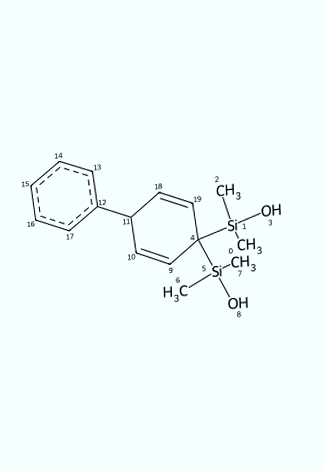 C[Si](C)(O)C1([Si](C)(C)O)C=CC(c2ccccc2)C=C1